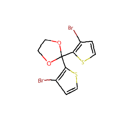 Brc1ccsc1C1(c2sccc2Br)OCCO1